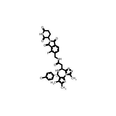 Cc1sc2c(c1C)[C@H](c1ccc(Cl)cc1)NC(CC(=O)NCc1ccc3c(c1F)C(=O)N(C1CCC(=O)NC1=O)C3=O)c1nnc(C)n1-2